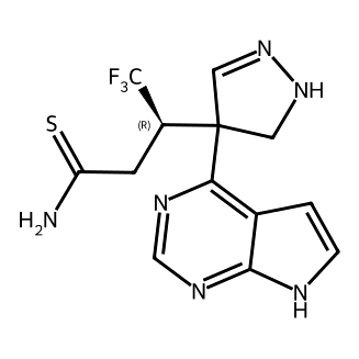 NC(=S)C[C@@H](C(F)(F)F)C1(c2ncnc3[nH]ccc23)C=NNC1